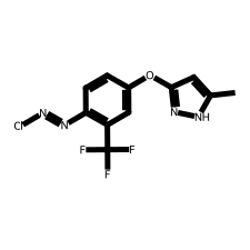 Cc1cc(Oc2ccc(/N=N/Cl)c(C(F)(F)F)c2)n[nH]1